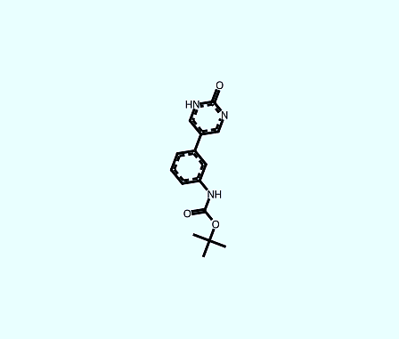 CC(C)(C)OC(=O)Nc1cccc(-c2cnc(=O)[nH]c2)c1